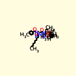 CCCCCCCCCC(=O)N[C@@H](CNC(=O)c1ccc(C)cc1)C(=O)N[C@@H](CC(C)C)B1O[C@@H]2C[C@@H]3C[C@@H](C3(C)C)[C@]2(C)O1